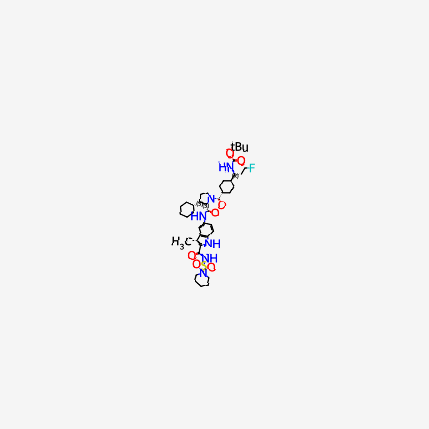 Cc1c(C(=O)NS(=O)(=O)N2CCCCC2)[nH]c2ccc(NC(=O)[C@@H]3[C@H](C4CCCCC4)CCN3C(=O)[C@H]3CC[C@H]([C@@H](CCF)NC(=O)OC(C)(C)C)CC3)cc12